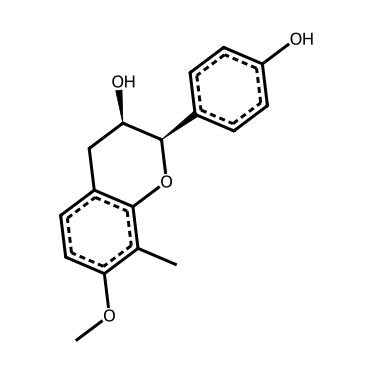 COc1ccc2c(c1C)O[C@H](c1ccc(O)cc1)[C@H](O)C2